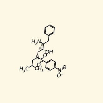 CC(C)CN(C[C@@H](O)[C@@H](N)Cc1ccccc1)S(=O)(=O)c1ccc([N+](=O)[O-])cc1